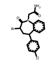 NC(=O)CN1C(=O)C(Br)CC(c2ccc(Cl)cc2)c2ccccc21